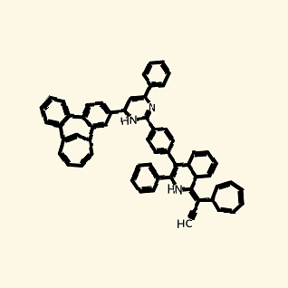 C#C/C(=C1\NC(c2ccccc2)=C(c2ccc(C3=NC(c4ccccc4)=CC(c4ccc5c(c4)C4C=CC=CC(=C4)c4ccccc4-5)N3)cc2)C2C=CC=CC12)C1C=CC=CC=C1